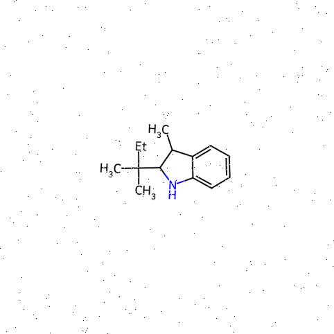 CCC(C)(C)C1Nc2ccccc2C1C